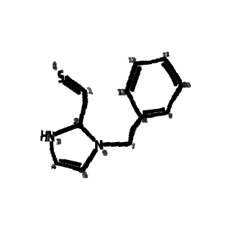 S=CC1NC=CN1Cc1ccccc1